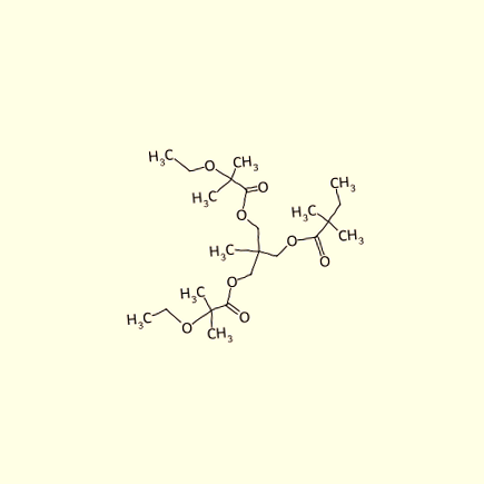 CCOC(C)(C)C(=O)OCC(C)(COC(=O)C(C)(C)CC)COC(=O)C(C)(C)OCC